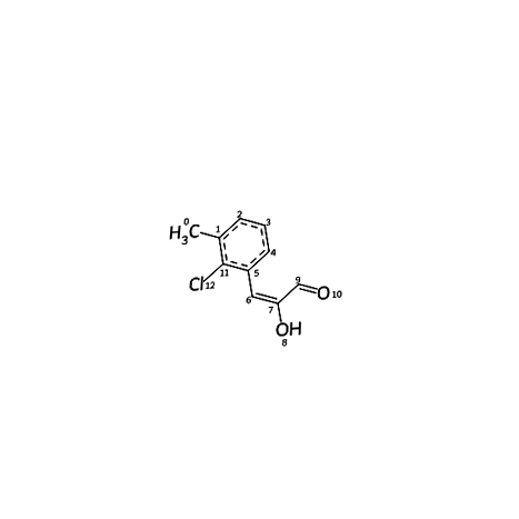 Cc1cccc(/C=C(/O)C=O)c1Cl